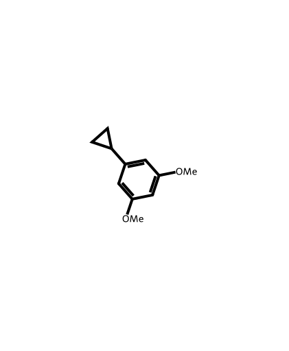 COc1cc(OC)cc(C2CC2)c1